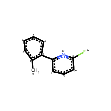 Cc1ccccc1-c1cccc(F)n1